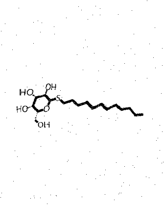 CCCCCCCCCCCCSC1O[C@H](CO)[C@H](O)[C@H](O)[C@H]1O